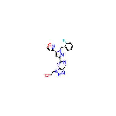 OCCn1nnc2cnc(-c3cc(-c4ccon4)n(Cc4ccccc4F)n3)nc21